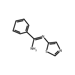 NC(=Nc1cncs1)c1ccccc1